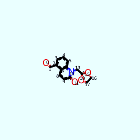 O=Cc1cccc2c1ccc(=O)n2CC1OCCO1